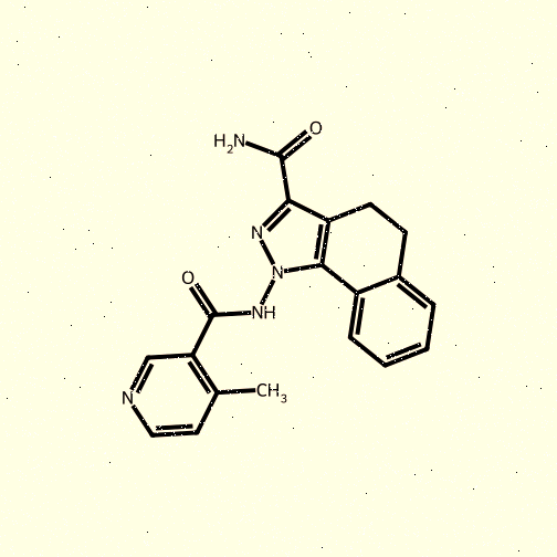 Cc1ccncc1C(=O)Nn1nc(C(N)=O)c2c1-c1ccccc1CC2